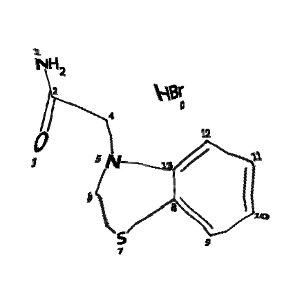 Br.NC(=O)CN1CSc2ccccc21